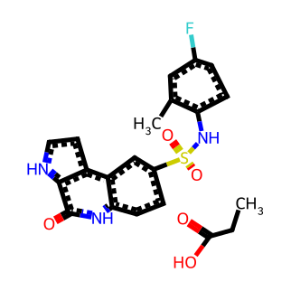 CCC(=O)O.Cc1cc(F)ccc1NS(=O)(=O)c1ccc2[nH]c(=O)c3[nH]ccc3c2c1